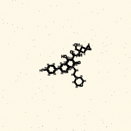 O=C(NC1(CO)CC2(CC2)C1)c1c(O)c2cc(-c3ccc(F)cc3)cnc2n(CCN2CCOCC2)c1=O